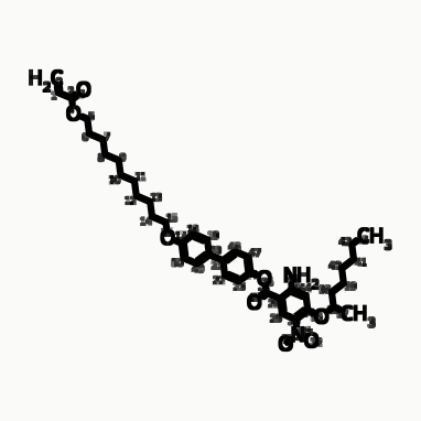 C=CC(=O)OCCCCCCCCCCCOc1ccc(-c2ccc(OC(=O)c3cc([N+](=O)[O-])c(OC(C)CCCCCC)cc3N)cc2)cc1